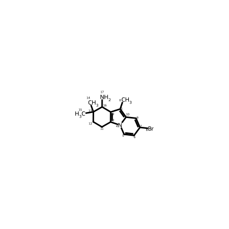 Cc1c2c(n3ccc(Br)cc13)CCC(C)(C)C2N